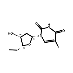 CC[C@H]1O[C@@H](n2cc(I)c(=O)[nH]c2=O)C[C@H]1O